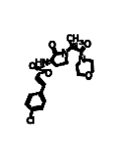 C[C@@H](C(=O)N1CCOCC1)N1CC[C@H](NS(=O)(=O)C=Cc2ccc(Cl)cc2)C1=O